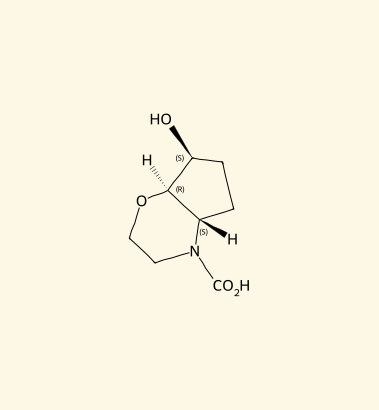 O=C(O)N1CCO[C@H]2[C@@H](O)CC[C@@H]21